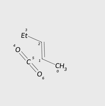 CC=CCC.O=C=O